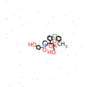 Cc1ccccc1Oc1c(Cl)cccc1[C@](O)(CCCCO)[C@@H]1CCCN(C(=O)[C@H]2CC[C@@H](O)C2)C1